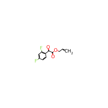 C=CCOC(=O)C(=O)c1ccc(F)cc1F